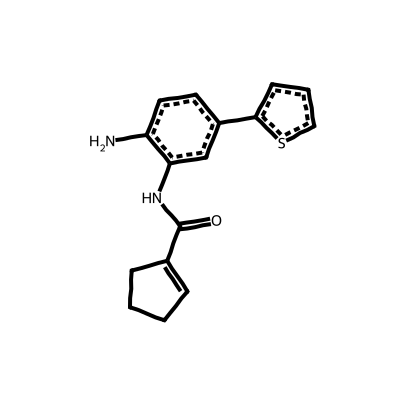 Nc1ccc(-c2cccs2)cc1NC(=O)C1=CCCC1